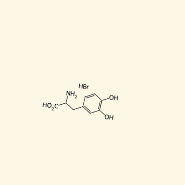 Br.NC(Cc1ccc(O)c(O)c1)C(=O)O